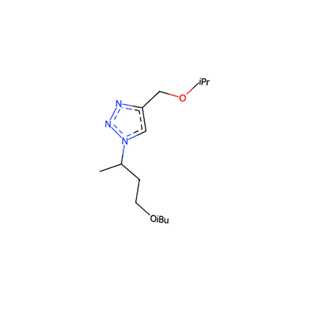 CC(C)COCCC(C)n1cc(COC(C)C)nn1